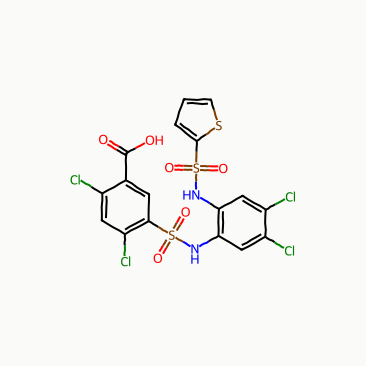 O=C(O)c1cc(S(=O)(=O)Nc2cc(Cl)c(Cl)cc2NS(=O)(=O)c2cccs2)c(Cl)cc1Cl